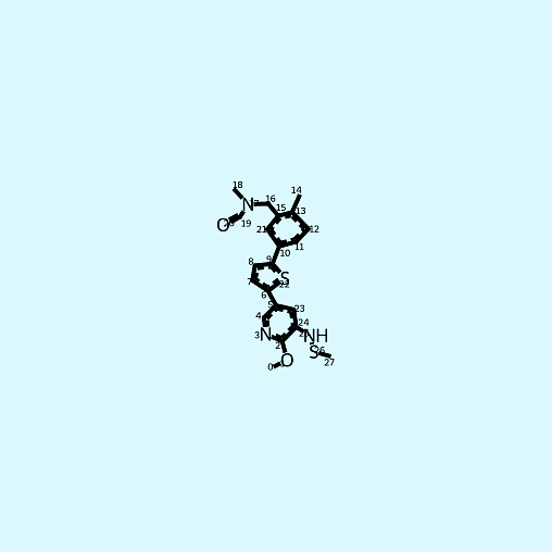 COc1ncc(-c2ccc(-c3ccc(C)c(CN(C)C=O)c3)s2)cc1NSC